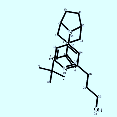 CC(C)(C)OC(=O)N1CC2CCC(C1)N2c1ccnc(CCCO)c1